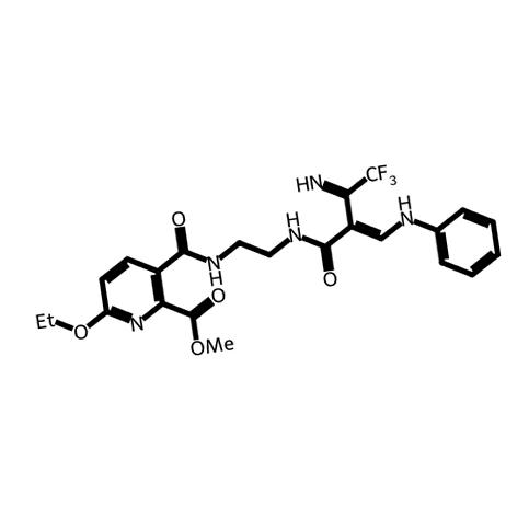 CCOc1ccc(C(=O)NCCNC(=O)/C(=C/Nc2ccccc2)C(=N)C(F)(F)F)c(C(=O)OC)n1